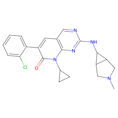 CN1CC2C(C1)C2Nc1ncc2cc(-c3ccccc3Cl)c(=O)n(C3CC3)c2n1